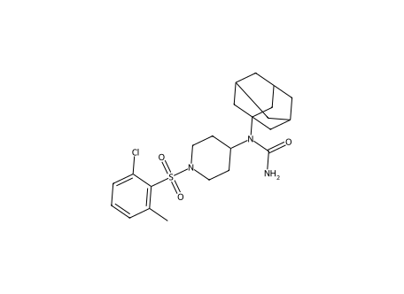 Cc1cccc(Cl)c1S(=O)(=O)N1CCC(N(C(N)=O)C23CC4CC(CC(C4)C2)C3)CC1